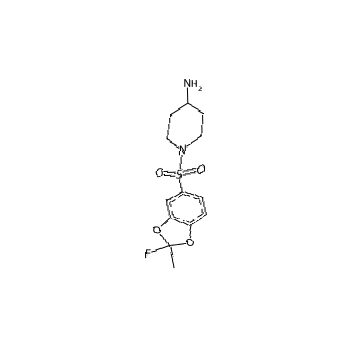 CC1(F)Oc2ccc(S(=O)(=O)N3CCC(N)CC3)cc2O1